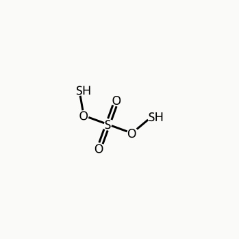 O=S(=O)(OS)OS